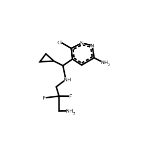 NCC(F)(F)CNC(c1cc(N)nnc1Cl)C1CC1